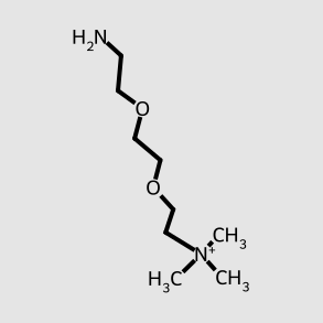 C[N+](C)(C)CCOCCOCCN